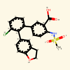 CS(=O)(=O)Nc1ccc(-c2cccc(Cl)c2-c2ccc3c(c2)CCO3)cc1C(=O)O